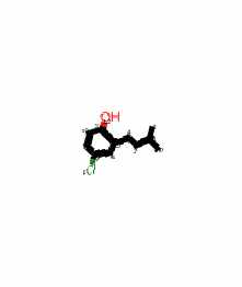 CC(C)=CCc1cc(Cl)ccc1O